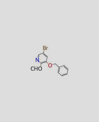 O=Cc1ncc(Br)cc1OCc1ccccc1